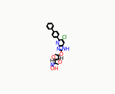 O/N=C1\CO[C@H]2[C@@H]1OC[C@H]2Oc1nc2nc(-c3ccc(-c4ccccc4)cc3)c(Cl)cc2[nH]1